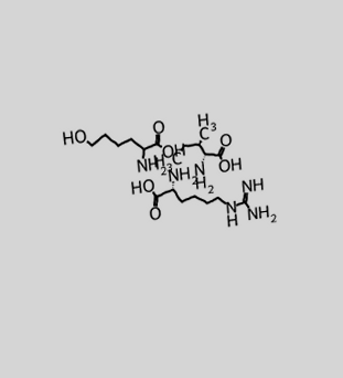 CC[C@@H](C)[C@@H](N)C(=O)O.N=C(N)NCCCC[C@@H](N)C(=O)O.NC(CCCCO)C(=O)O